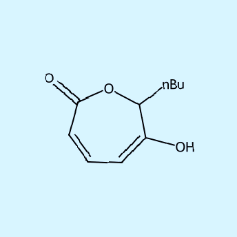 CCCCC1OC(=O)C=CC=C1O